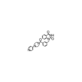 O=C(c1cccc(Cn2c(=O)[nH]c(=O)c3ccccc32)c1)N1CCN(c2ccncc2)CC1